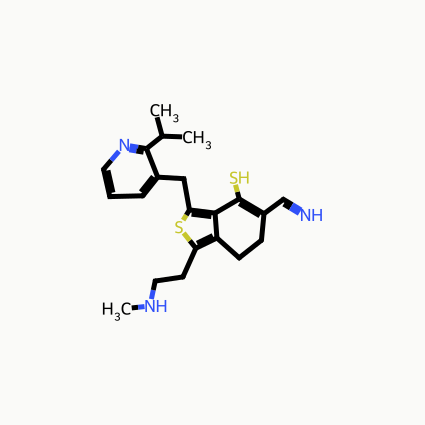 CNCCc1sc(Cc2cccnc2C(C)C)c2c1CCC(C=N)=C2S